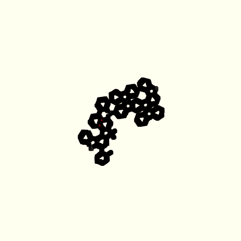 Cc1ccccc1-c1cc2c(c3c1oc1ccccc13)-c1ccc(N(c3ccc4c(c3)C3(c5ccccc5-c5ccccc53)c3cc5c(cc3-4)C3(c4ccccc4-c4ccccc43)c3ccc4oc6ccccc6c4c3-5)c3ccccc3-c3ccccc3)cc1C2(C)C